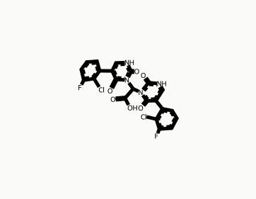 O=C(O)C(n1c(=O)[nH]cc(-c2cccc(F)c2Cl)c1=O)n1c(=O)[nH]cc(-c2cccc(F)c2Cl)c1=O